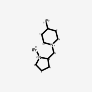 CC(C)C1CCN(CC2CCCN2C(C)C)CC1